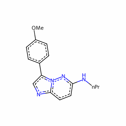 CCCNc1ccc2ncc(-c3ccc(OC)cc3)n2n1